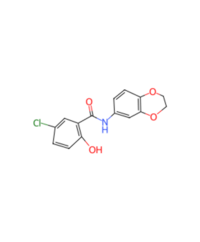 O=C(Nc1ccc2c(c1)OCCO2)c1cc(Cl)ccc1O